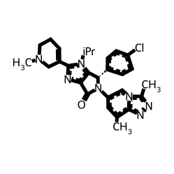 Cc1cc(N2C(=O)c3nc(C4=CCCN(C)C4)n(C(C)C)c3[C@@H]2c2ccc(Cl)cc2)cn2c(C)nnc12